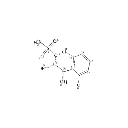 CC(C)[C@H](OS(N)(=O)=O)[C@@H](O)c1c(Cl)cccc1Cl